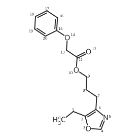 CCc1ocnc1CCCOC(=O)COc1ccccc1